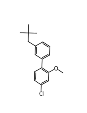 COc1cc(Cl)ccc1-c1cccc(CC(C)(C)C)c1